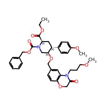 CCOC(=O)[C@H]1C[C@H](c2ccc(OC)cc2)[C@@H](OCc2ccc3c(c2)N(CCCOC)C(=O)CO3)CN1C(=O)OCc1ccccc1